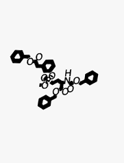 COP(=O)(CCC(NC(=O)OCc1ccccc1)C(=O)OCc1ccccc1)Oc1cccc(CC(=O)OCc2ccccc2)c1